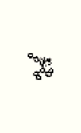 c1ccc(-c2ccc(-c3cc(-c4cc(-c5cccc6ccccc56)cc(-c5cccc6ccccc56)c4)nc(-c4cccs4)n3)cc2)cc1